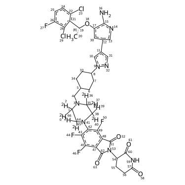 [2H]C1([2H])N(CC2CCC(n3cc(-c4cnc(N)c(O[C@H](C)c5c(Cl)ccc(F)c5Cl)c4)cn3)CC2)C([2H])([2H])C([2H])([2H])N(c2c(F)c(F)c3c(c2F)C(=O)N(C2CCC(=O)NC2=O)C3=O)C1([2H])[2H]